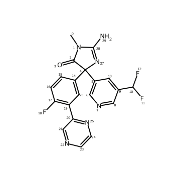 CN1C(=O)C(c2cncc(C(F)F)c2)(c2ccc(F)c(-c3cnccn3)c2)N=C1N